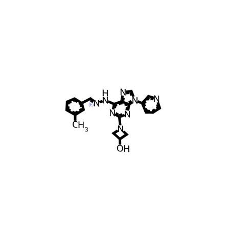 Cc1cccc(/C=N/Nc2nc(N3CC(O)C3)nc3c2ncn3-c2cccnc2)c1